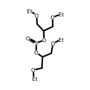 CCOCC(COCC)OS(=O)OC(COCC)COCC